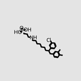 Cc1ccc(CC(CCCCCCCNCCCP(=O)(O)O)c2cccc(Cl)c2)cc1C